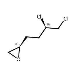 ClC[C@H](Cl)CC[C@@H]1CO1